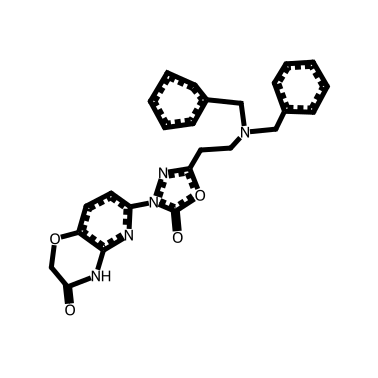 O=C1COc2ccc(-n3nc(CCN(Cc4ccccc4)Cc4ccccc4)oc3=O)nc2N1